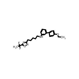 CCOc1ccc(-c2cccc(NCCCCCc3noc(C(C)(F)F)n3)c2)cc1